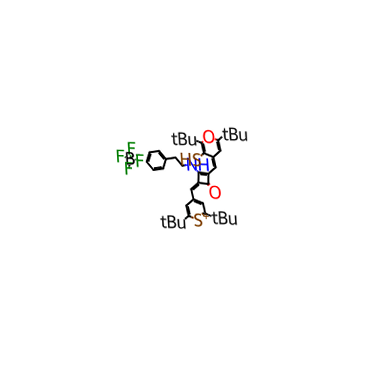 CC(C)(C)C1=CC(=CC2=C(NCCc3ccccc3)C(=Cc3cc(C(C)(C)C)[s+]c(C(C)(C)C)c3)C2=O)C(S)=C(C(C)(C)C)O1.F[B-](F)(F)F